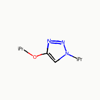 CC(C)Oc1cn(C(C)C)nn1